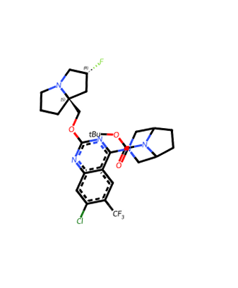 CC(C)(C)OC(=O)N1C2CCC1CN(c1nc(OC[C@@]34CCCN3C[C@H](F)C4)nc3cc(Cl)c(C(F)(F)F)cc13)C2